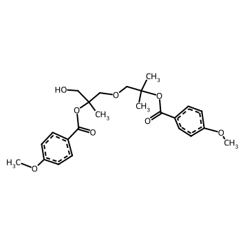 COc1ccc(C(=O)OC(C)(C)COCC(C)(CO)OC(=O)c2ccc(OC)cc2)cc1